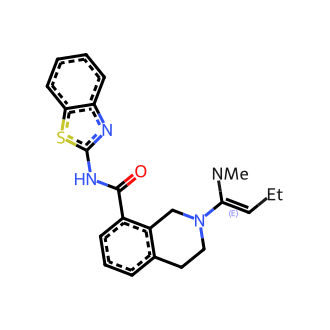 CC/C=C(\NC)N1CCc2cccc(C(=O)Nc3nc4ccccc4s3)c2C1